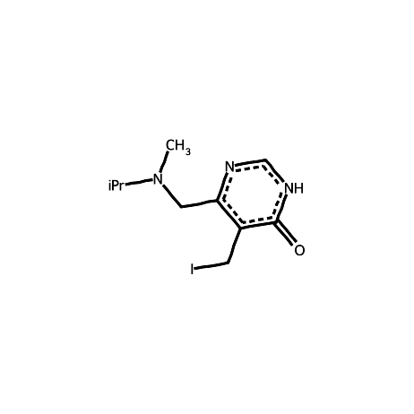 CC(C)N(C)Cc1nc[nH]c(=O)c1CI